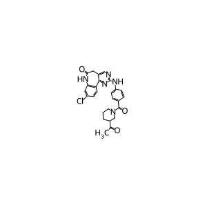 CC(=O)C1CCCN(C(=O)c2ccc(Nc3ncc4c(n3)-c3ccc(Cl)cc3NC(=O)C4)cc2)C1